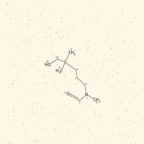 CN(C=O)CCCC(C)(C)CO